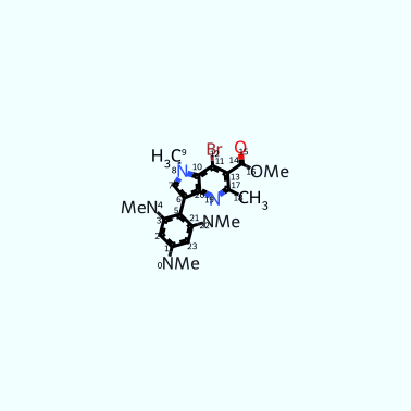 CNc1cc(NC)c(-c2cn(C)c3c(Br)c(C(=O)OC)c(C)nc23)c(NC)c1